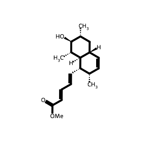 COC(=O)/C=C/C=C/[C@@H]1[C@H]2[C@H](C)[C@@H](O)[C@H](C)C[C@@H]2C=C[C@@H]1C